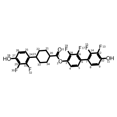 O=C(Oc1ccc(-c2ccc(O)c(F)c2F)c(F)c1F)C1CCC(c2ccc(O)c(F)c2F)CC1